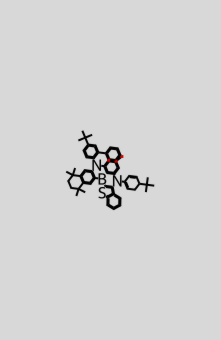 Cc1cc2c3c(c1)N(c1ccc(C(C)(C)C)cc1-c1ccccc1)c1cc4c(cc1B3c1sc3ccccc3c1N2C1=CCC(C(C)(C)C)C=C1)C(C)(C)CCC4(C)C